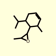 CC(C)C1CC=CC(C)C1C1OC1C